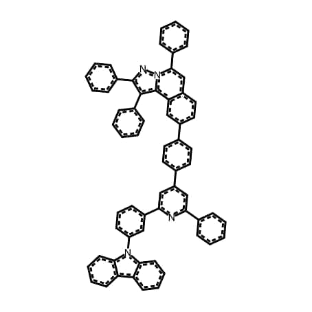 c1ccc(-c2cc(-c3ccc(-c4ccc5cc(-c6ccccc6)n6nc(-c7ccccc7)c(-c7ccccc7)c6c5c4)cc3)cc(-c3cccc(-n4c5ccccc5c5ccccc54)c3)n2)cc1